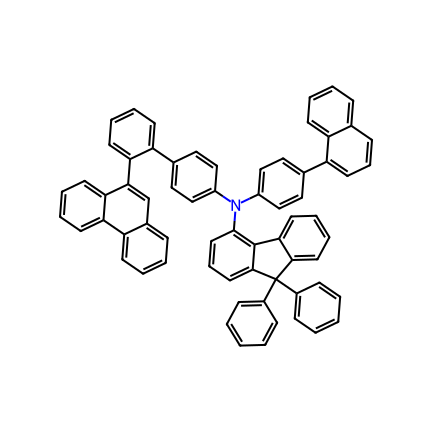 c1ccc(C2(c3ccccc3)c3ccccc3-c3c(N(c4ccc(-c5ccccc5-c5cc6ccccc6c6ccccc56)cc4)c4ccc(-c5cccc6ccccc56)cc4)cccc32)cc1